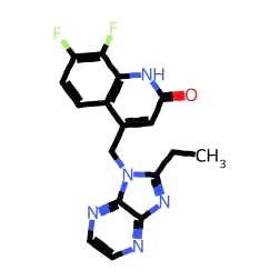 CCc1nc2nccnc2n1Cc1cc(=O)[nH]c2c(F)c(F)ccc12